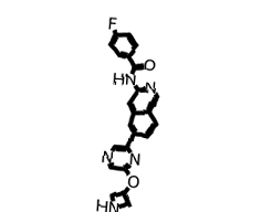 O=C(Nc1cc2cc(-c3cncc(OC4CNC4)n3)ccc2cn1)c1ccc(F)cc1